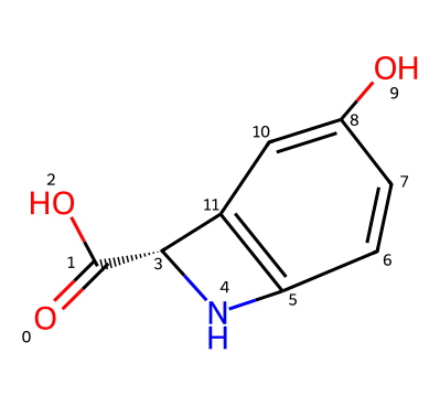 O=C(O)[C@H]1Nc2ccc(O)cc21